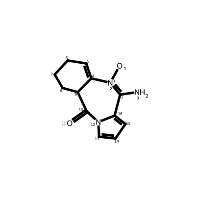 NC1=[N+]([O-])C2=CCCCC2C(=O)n2cccc21